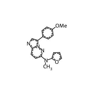 COc1ccc(-c2cnc3ccc(N(C)c4ccco4)nn23)cc1